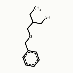 CCC(CS)COCc1ccccc1